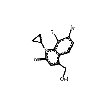 O=c1cc(CO)c2ccc(Br)c(F)c2n1C1CC1